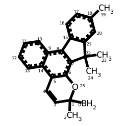 BC1(C)C=Cc2c(c3c(c4ccccc24)-c2ccc(C)cc2C3(C)C)O1